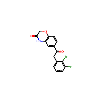 O=C1COc2ccc(C(=O)Cc3cccc(F)c3Br)cc2N1